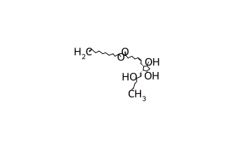 C=CCCCCCCCCOC(=O)CCC/C=C\C[C@@H]1[C@@H](/C=C/[C@@H](O)CCCCC)[C@H](O)C[C@@H]1O